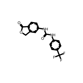 O=C(Nc1ccc(C(F)(F)F)cc1)Nc1ccc2c(c1)COC2=O